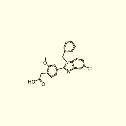 COc1cc(-c2nc3cc(Cl)ccc3n2Cc2ccccc2)ccc1CC(=O)O